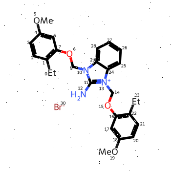 CCc1ccc(OC)cc1OCn1c(N)[n+](COc2cc(OC)ccc2CC)c2ccccc21.[Br-]